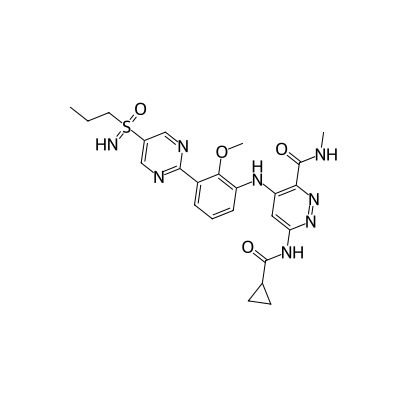 CCCS(=N)(=O)c1cnc(-c2cccc(Nc3cc(NC(=O)C4CC4)nnc3C(=O)NC)c2OC)nc1